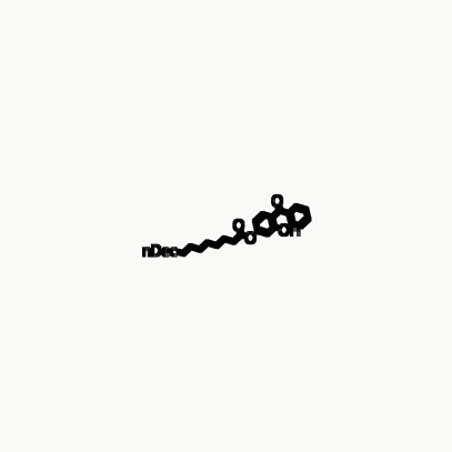 CCCCCCCCCCCCCCCCCC(=O)Oc1ccc(C(=O)c2ccccc2)c(O)c1